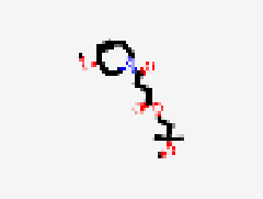 CO[C@H]1C#CCCN(C(=O)CCC(=O)OCCC(C)(C)OC)CC1